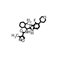 Cc1nocc1C(=O)NC(c1nc2c(F)c(C3CCOCC3)ccc2[nH]1)C1CCCCC1C